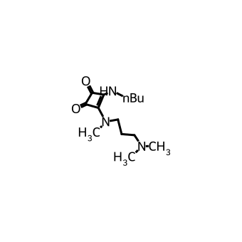 CCCCNc1c(N(C)CCCN(C)C)c(=O)c1=O